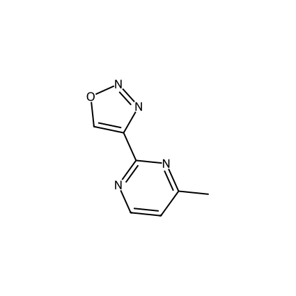 Cc1ccnc(-c2conn2)n1